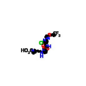 CC1(C)C[C@H](CCCNc2cccc(S(=O)(=O)NC(=O)c3ccc(-n4ccc(OCCC(C)(C)C(F)(F)F)n4)nc3Cl)n2)CN1C(=O)O